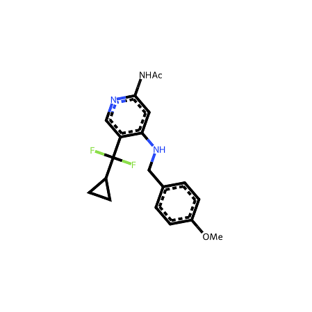 COc1ccc(CNc2cc(NC(C)=O)ncc2C(F)(F)C2CC2)cc1